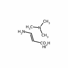 CN(C)C.I.NC=CC(=O)O